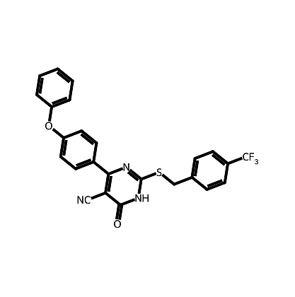 N#Cc1c(-c2ccc(Oc3ccccc3)cc2)nc(SCc2ccc(C(F)(F)F)cc2)[nH]c1=O